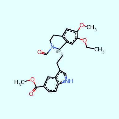 CCOc1cc2c(cc1OC)CCN(C=O)[C@H]2CCc1c[nH]c2ccc(C(=O)OC)cc12